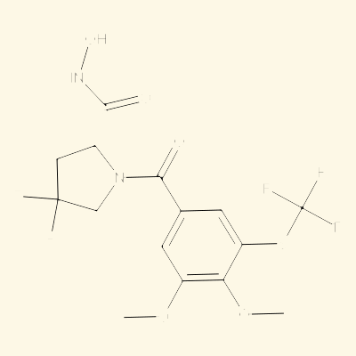 COc1cc(C(=O)N2CC(F)(F)C[C@@H]2C(=O)NO)cc(SC(F)(F)F)c1OC